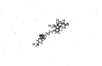 CN1c2c(CCCOCCNS(=O)(=O)N3CCC(N)CC3)cccc2N(C2CCC(=O)NC2=O)C1O